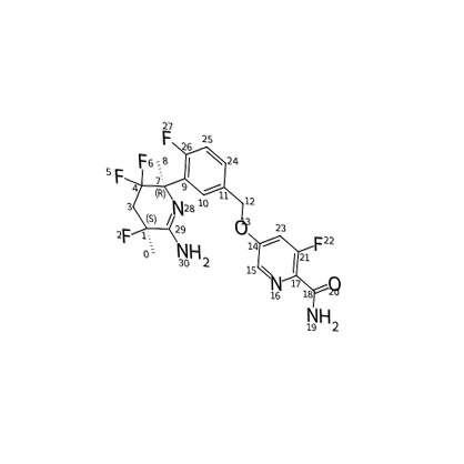 C[C@]1(F)CC(F)(F)[C@@](C)(c2cc(COc3cnc(C(N)=O)c(F)c3)ccc2F)N=C1N